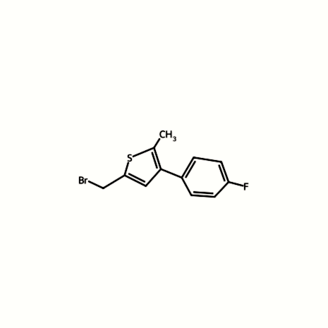 Cc1sc(CBr)cc1-c1ccc(F)cc1